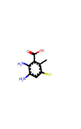 Cc1c(S)cc(N)c(N)c1C(=O)O